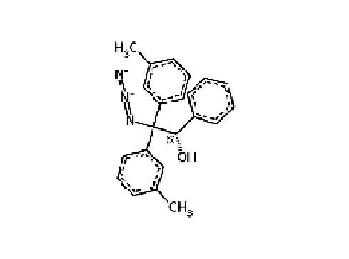 Cc1cccc(C(N=[N+]=[N-])(c2cccc(C)c2)[C@@H](O)c2ccccc2)c1